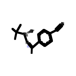 C/C(=N/[S@@+]([O-])C(C)(C)C)c1ccc(C#N)cc1